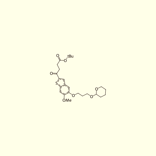 COc1cc2sc(C(=O)CCC(=O)OC(C)(C)C)cc2cc1OCCCOC1CCCCO1